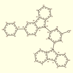 Clc1nc(-n2c3ccccc3c3ccccc32)nc(-n2c3ccccc3c3cc(-c4ccccc4)ccc32)n1